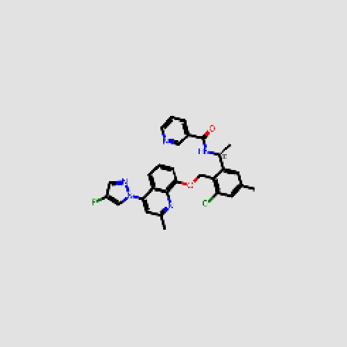 Cc1cc(Cl)c(COc2cccc3c(-n4cc(F)cn4)cc(C)nc23)c([C@H](C)NC(=O)c2cccnc2)c1